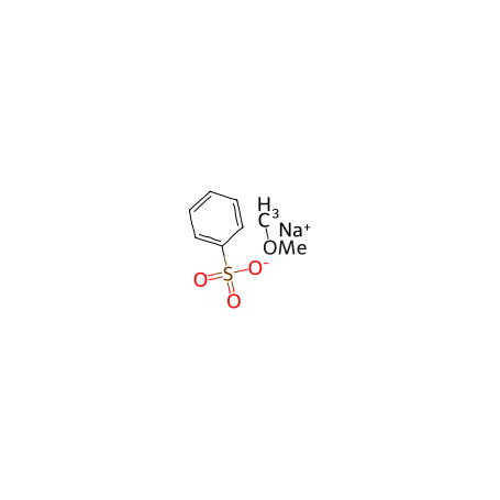 COC.O=S(=O)([O-])c1ccccc1.[Na+]